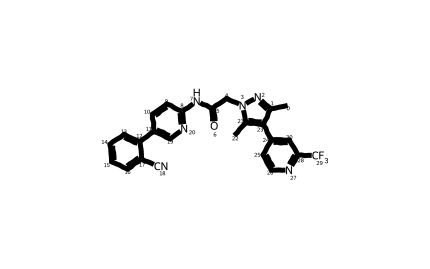 Cc1nn(CC(=O)Nc2ccc(-c3ccccc3C#N)cn2)c(C)c1-c1ccnc(C(F)(F)F)c1